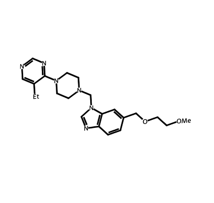 CCc1cncnc1N1CCN(Cn2cnc3ccc(COCCOC)cc32)CC1